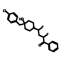 O=C(c1ccccc1)C(F)CC(F)N1CCC(O)(Cc2ccc(Cl)cc2)CC1